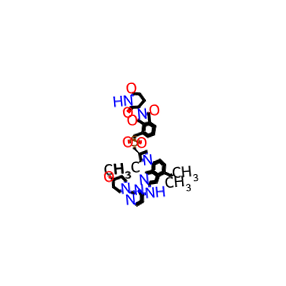 COC1CCN(c2nccc(Nc3cc4c(C(C)C)ccc(N5C[C@H](CS(=O)(=O)Cc6cccc7c6C(=O)N(C6CCC(=O)NC6=O)C7=O)[C@H]5C)c4cn3)n2)CC1